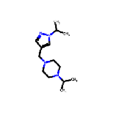 CC(C)N1CCN(Cc2cnn(C(C)C)c2)CC1